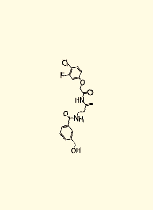 C=C(CCNC(=O)c1cccc(CO)c1)NC(=O)COc1ccc(Cl)c(F)c1